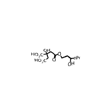 CCCC(O)CCOC(=O)CC(O)(CC(=O)O)C(=O)O